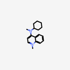 CN(c1cc[n+](C)c2ccccc12)C1CCCCC1